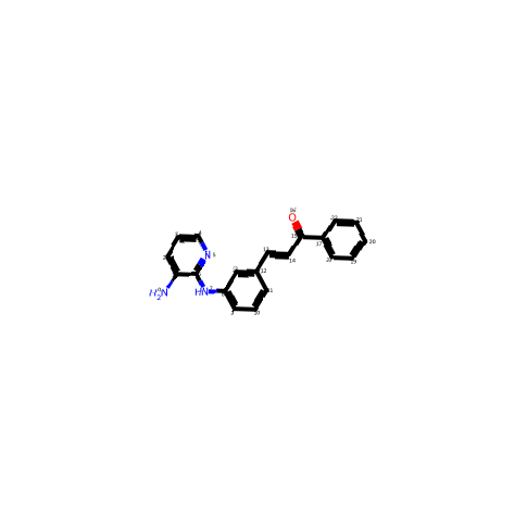 Nc1cccnc1Nc1cccc(C=CC(=O)c2ccccc2)c1